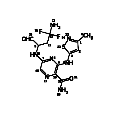 Cc1cc(Nc2nc(NC(C=O)CC(N)(F)F)cnc2C(N)=O)sn1